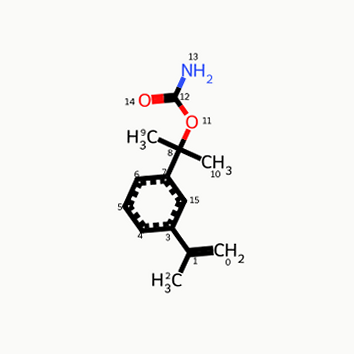 C=C(C)c1cccc(C(C)(C)OC(N)=O)c1